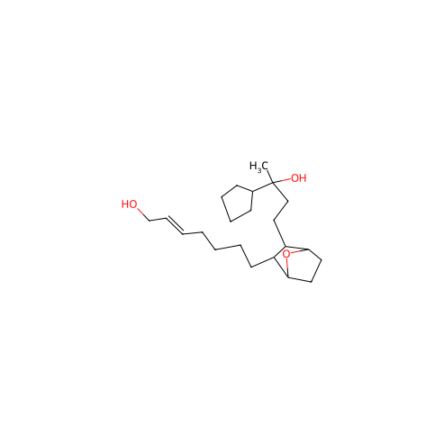 CC(O)(CCC1C2CCC(O2)C1CCCCC=CCO)C1CCCC1